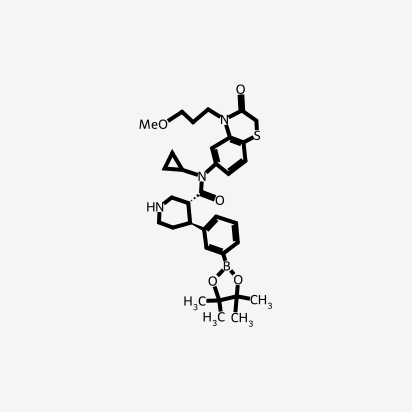 COCCCN1C(=O)CSc2ccc(N(C(=O)[C@H]3CNCC[C@@H]3c3cccc(B4OC(C)(C)C(C)(C)O4)c3)C3CC3)cc21